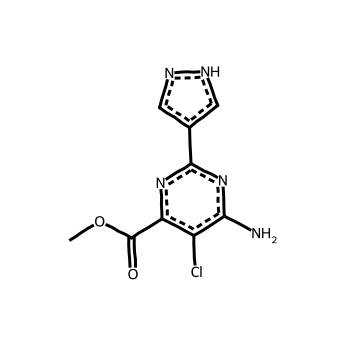 COC(=O)c1nc(-c2cn[nH]c2)nc(N)c1Cl